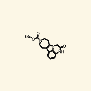 CC(C)(C)OC(=O)N1CCc2c(n3c4c(cccc24)NC(=O)C3)CC1